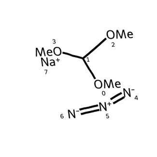 COC(OC)OC.[N-]=[N+]=[N-].[Na+]